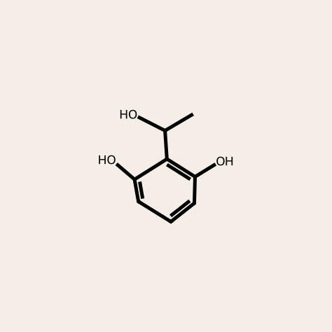 CC(O)c1c(O)cccc1O